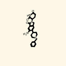 Nc1cc2c(cc1C1CCN(Cc3ccccc3)CC1)CN(C1CCC(=O)NC1=O)C2=O